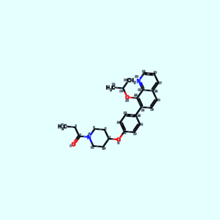 CCC(=O)N1CCC(Oc2ccc(-c3ccc4cccnc4c3OC(C)C)cc2)CC1